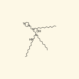 CCCCCCCCCCNCCN(CCCCCCCCCC)CCN(CCN1CCN(C)CC1)CC(O)CCCCCCCCCC